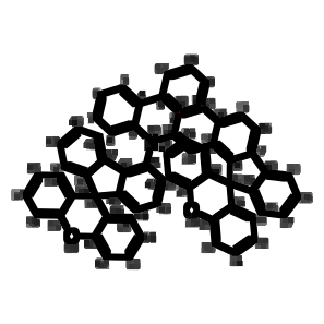 c1ccc(-c2ccccc2N(c2ccc3ccc4c(c3c2)C2(c3ccccc3Oc3ccccc32)c2ccccc2-4)c2cccc3c2-c2ccccc2C32c3ccccc3Oc3ccccc32)cc1